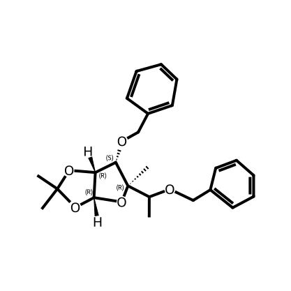 CC(OCc1ccccc1)[C@@]1(C)O[C@@H]2OC(C)(C)O[C@@H]2[C@@H]1OCc1ccccc1